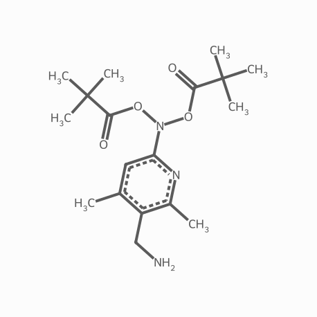 Cc1cc(N(OC(=O)C(C)(C)C)OC(=O)C(C)(C)C)nc(C)c1CN